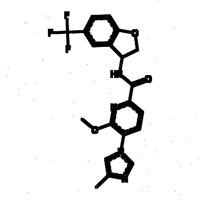 COc1nc(C(=O)NC2COc3ccc(C(F)(F)F)cc32)ccc1-n1cnc(C)c1